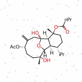 C=C1C[C@@]2(O)O[C@H]([C@@H]3[C@@H](C(C)C)CC[C@@](C)(OC(=O)CCC)[C@@H]32)[C@](C)(O)CC[C@@H]1OC(C)=O